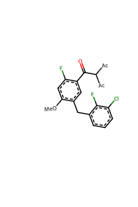 COc1cc(F)c(C(=O)C(C(C)=O)C(C)=O)cc1Cc1cccc(Cl)c1F